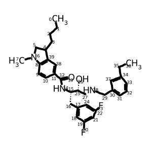 CCCCC1CN(C)c2ccc(C(=O)N[C@@H](Cc3cc(F)cc(F)c3)[C@H](O)CNCc3cccc(CC)c3)cc21